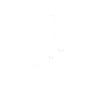 CCOC(=O)COC(=O)C(Cc1c[nH]c2ccc(OC(=O)OCc3ccccc3)cc12)NC(=O)OCc1ccccc1